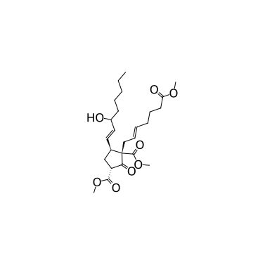 CCCCCC(O)C=C[C@@H]1C[C@@H](C(=O)OC)C(=O)[C@@]1(CC=CCCCC(=O)OC)C(=O)OC